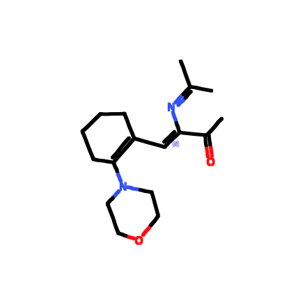 CC(=O)/C(=C/C1=C(N2CCOCC2)CCCC1)N=C(C)C